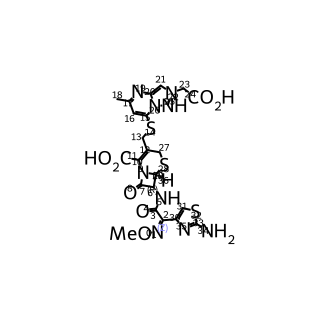 CO/N=C(\C(=O)N[C@@H]1C(=O)N2C(C(=O)O)=C(CSC3=CC(C)=NC4=CN(CC(=O)O)NN43)CS[C@H]12)c1csc(N)n1